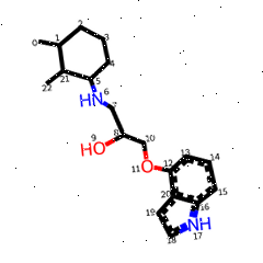 CC1CCCC(NCC(O)COc2cccc3[nH]ccc23)C1C